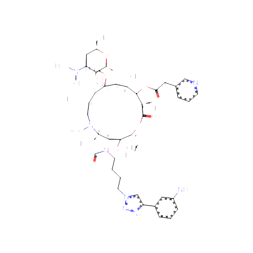 CC[C@H]1OC(=O)[C@H](C)C(OC(=O)Cc2cccnc2)[C@@H](C)[C@@H](O[C@@H]2O[C@H](C)CC(N(C)C)C2O)[C@](C)(OC)C[C@@H](C)CN(C)[C@H](C)[C@@H](N(C=O)CCCCn2cc(-c3cccc(N)c3)nn2)[C@]1(C)O